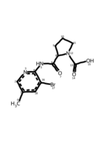 Cc1cnc(NC(=O)C2CCCN2C(=O)O)c(Br)c1